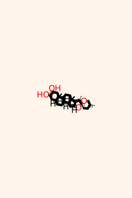 C[C@@H]1CC[C@@]2(OC1)O[C@H]1C[C@H]3[C@@H]4CC[C@@H]5C[C@H](O)[C@@H](O)C[C@]5(C)[C@H]4CC[C@]3(C)[C@H]1[C@@H]2C